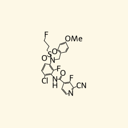 COc1ccc(CN(c2ccc(Cl)c(NC(=O)c3ccnc(C#N)c3F)c2F)S(=O)(=O)CCCF)cc1